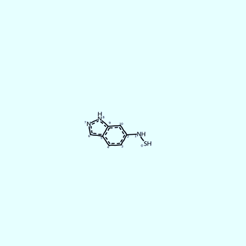 SNc1ccc2cn[nH]c2c1